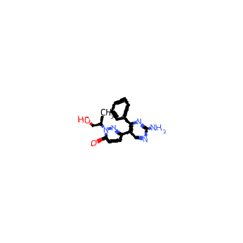 CC(CO)n1nc(-c2cnc(N)nc2-c2ccccc2)ccc1=O